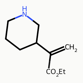 C=C(C(=O)OCC)C1CCCNC1